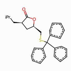 CC(C)C[C@@H]1C[C@H](CSC(c2ccccc2)(c2ccccc2)c2ccccc2)OC1=O